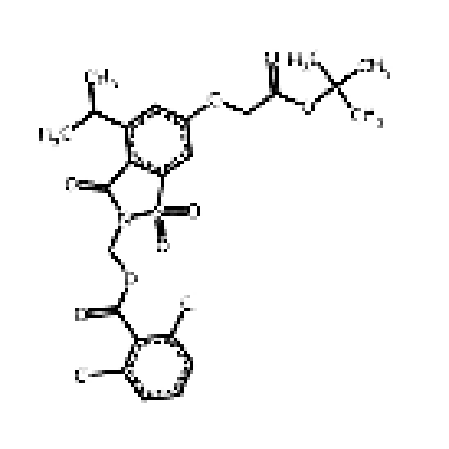 CC(C)c1cc(OCC(=O)OC(C)(C)C)cc2c1C(=O)N(COC(=O)c1c(Cl)cccc1Cl)S2(=O)=O